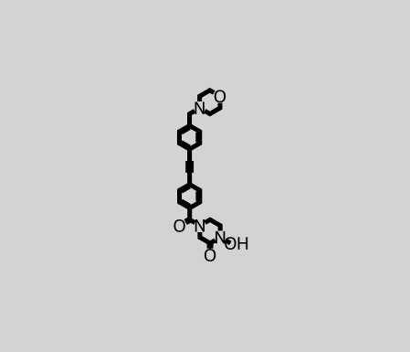 O=C1CN(C(=O)c2ccc(C#Cc3ccc(CN4CCOCC4)cc3)cc2)CCN1O